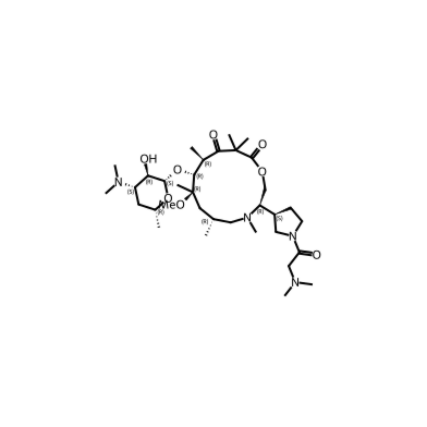 CO[C@]1(C)C[C@@H](C)CN(C)[C@H]([C@H]2CCN(C(=O)CN(C)C)C2)COC(=O)C(C)(C)C(=O)[C@H](C)[C@H]1O[C@@H]1O[C@H](C)C[C@H](N(C)C)[C@H]1O